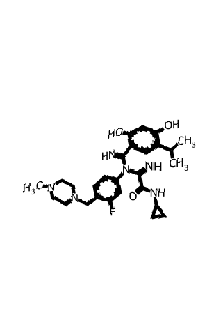 CC(C)c1cc(C(=N)N(C(=N)C(=O)NC2CC2)c2ccc(CN3CCN(C)CC3)c(F)c2)c(O)cc1O